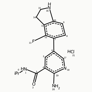 CC(C)NC(=O)c1cc(-c2ccc3c(c2F)CCN3)cnc1N.Cl